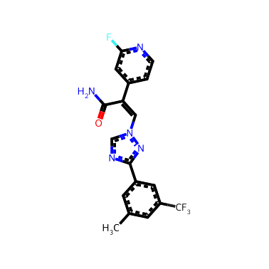 Cc1cc(-c2ncn(/C=C(\C(N)=O)c3ccnc(F)c3)n2)cc(C(F)(F)F)c1